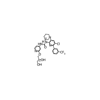 O=C(Nc1ccnc(OC[C@@H](O)CO)c1)N1c2nc(-c3cccc(C(F)(F)F)c3)c(Cl)cc2N2CCC[C@H]1C2